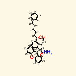 CCCCC(C(N)=O)(c1cccc(C(O)CCCCCc2ccccc2)c1)C1c2ccccc2Oc2ccccc21